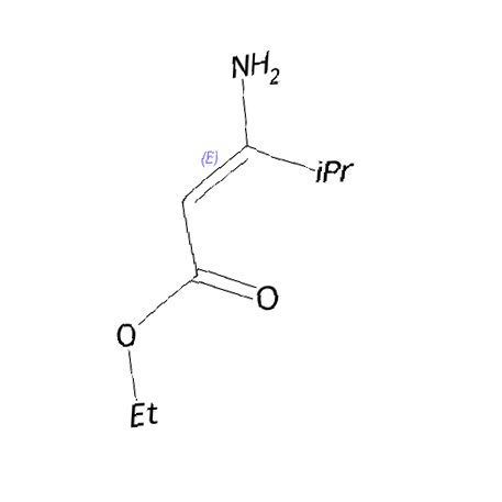 CCOC(=O)/C=C(/N)C(C)C